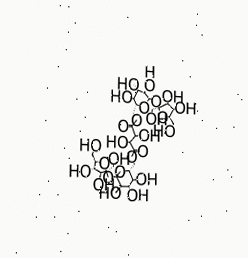 O=C(OC[C@H]1O[C@H](O[C@]2(CO)O[C@H](CO)[C@@H](O)[C@@H]2O)[C@H](O)[C@@H](O)[C@@H]1O)C(O)C(O)C(=O)OC[C@H]1O[C@H](O[C@]2(CO)O[C@H](CO)[C@@H](O)[C@@H]2O)[C@H](O)[C@@H](O)[C@@H]1O